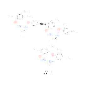 CC(C)(C)c1cc(CN[C@H]2CCCC[C@@H]2NCc2cc(C(C)(C)C)cc(C(C)(C)C)c2[O-])c([O-])c(C(C)(C)C)c1.CC(C)(C)c1cc(CN[C@H]2CCCC[C@@H]2NCc2cc(C(C)(C)C)cc(C(C)(C)C)c2[O-])c([O-])c(C(C)(C)C)c1.CC(C)(C)c1cc(CN[C@H]2CCCC[C@@H]2NCc2cc(C(C)(C)C)cc(C(C)(C)C)c2[O-])c([O-])c(C(C)(C)C)c1.[Mn+3].[Mn+3]